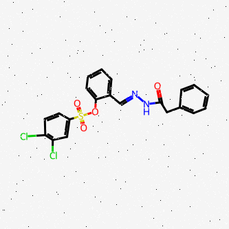 O=C(Cc1ccccc1)NN=Cc1ccccc1OS(=O)(=O)c1ccc(Cl)c(Cl)c1